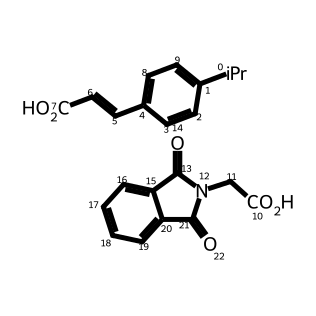 CC(C)c1ccc(C=CC(=O)O)cc1.O=C(O)CN1C(=O)c2ccccc2C1=O